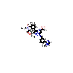 CCC(O)c1cc(NCc2cccc(-c3nccn3C)c2)n2nc(C)c(-c3ccc(C)c(C(=O)N(C)C(C)CO)c3)c2n1